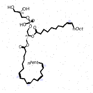 CCCCC/C=C\C/C=C\C/C=C\C/C=C\CCCCCC(=O)OC[C@H](COP(=O)(O)OC[C@@H](O)CO)OC(=O)CCCCCCC/C=C\CCCCCCCC